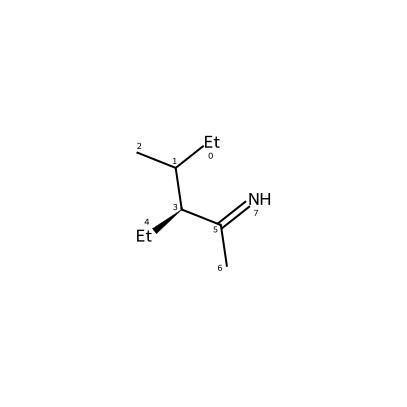 [CH2]CC(C)[C@H](CC)C(C)=N